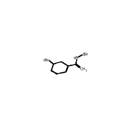 C=C(NC(C)(C)C)C1CCCC(C(C)(C)C)C1